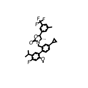 COc1cc(F)c(C(C)C)cc1-c1ccc(C2CC2)cc1CN1C(=O)OC(c2cc(C)cc(C(F)(F)F)c2)[C@@H]1C